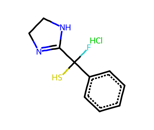 Cl.FC(S)(C1=NCCN1)c1ccccc1